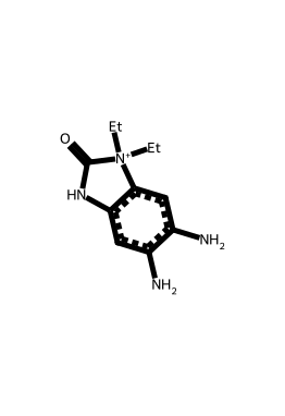 CC[N+]1(CC)C(=O)Nc2cc(N)c(N)cc21